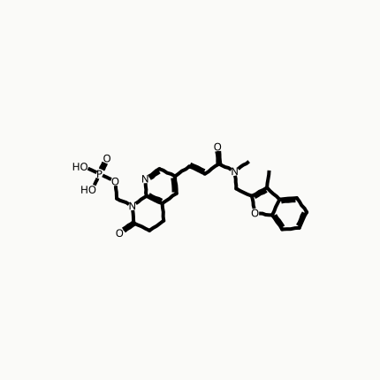 Cc1c(CN(C)C(=O)C=Cc2cnc3c(c2)CCC(=O)N3COP(=O)(O)O)oc2ccccc12